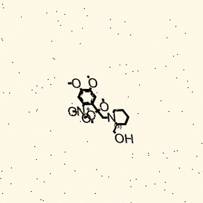 COc1cc([N+](=O)[O-])c(C(CN2CCCC[C@H]2CO)(OC)OC)cc1OC